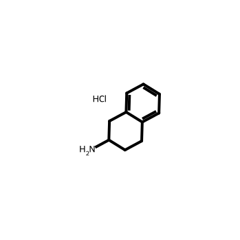 Cl.NC1CCc2ccccc2C1